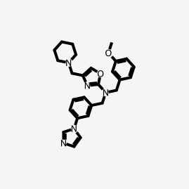 COc1cccc(CN(Cc2cccc(-n3ccnc3)c2)c2nc(CN3CCCCC3)co2)c1